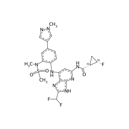 CN(c1cc(-c2cnn(C)c2)ccc1Nc1cc(NC(=O)[C@@H]2C[C@@H]2F)nc2[nH]c(C(F)F)nc12)S(C)(=O)=O